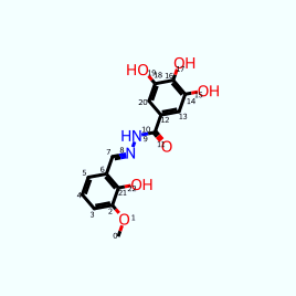 COc1cccc(/C=N/NC(=O)c2cc(O)c(O)c(O)c2)c1O